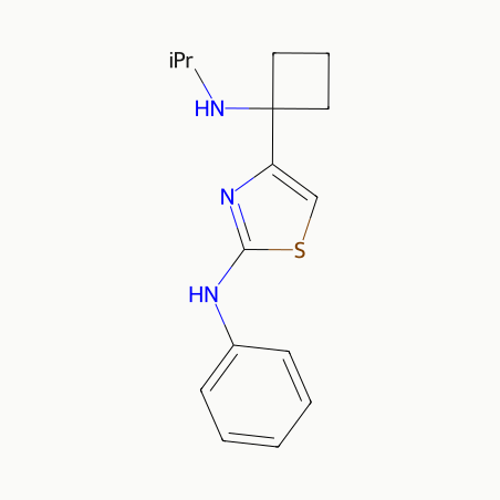 CC(C)NC1(c2csc(Nc3ccccc3)n2)CCC1